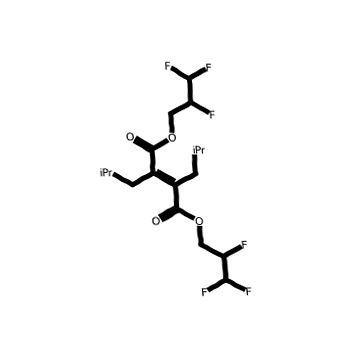 CC(C)CC(C(=O)OCC(F)C(F)F)=C(CC(C)C)C(=O)OCC(F)C(F)F